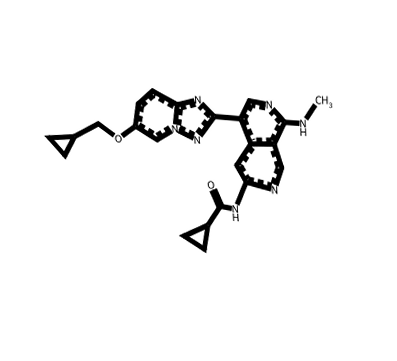 CNc1ncc(-c2nc3ccc(OCC4CC4)cn3n2)c2cc(NC(=O)C3CC3)ncc12